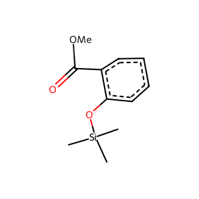 COC(=O)c1ccccc1O[Si](C)(C)C